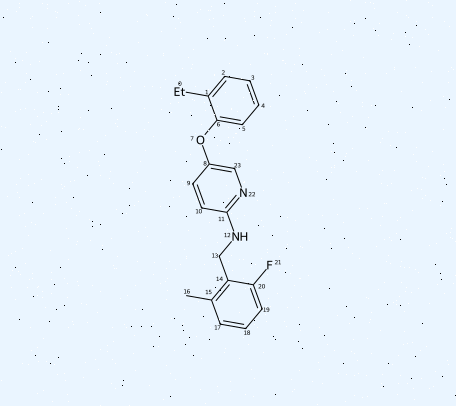 CCc1ccccc1Oc1ccc(NCc2c(C)cccc2F)nc1